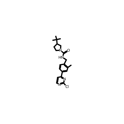 Cc1cc(-c2ccnc(Cl)n2)ccc1CNC(=O)N1CCC(C(C)(C)C)C1